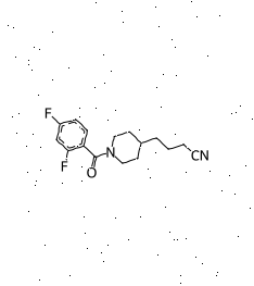 N#CCCCC1CCN(C(=O)c2ccc(F)cc2F)CC1